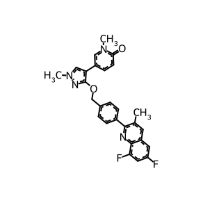 Cc1cc2cc(F)cc(F)c2nc1-c1ccc(COc2nn(C)cc2-c2ccc(=O)n(C)c2)cc1